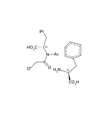 CC(=O)N(C(=O)CCl)[C@@H](CC(C)C)C(=O)O.N[C@@H](Cc1ccccc1)C(=O)O